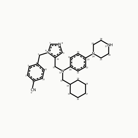 N#Cc1ccc(Cn2cncc2CN(CC2CCCCC2)c2ccc(N3CCNCC3)cc2)cc1